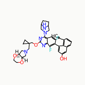 C#Cc1cccc2cc(O)cc(-c3c(F)cc4c(N5CC6CCC(C5)N6)nc(OCC5(CN6C[C@@H]7OCCO[C@@H]7C6)CC5)nc4c3F)c12